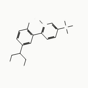 CCC(CC)c1ccc(C)c(-c2ccc([Si](C)(C)C)c[n+]2C)c1